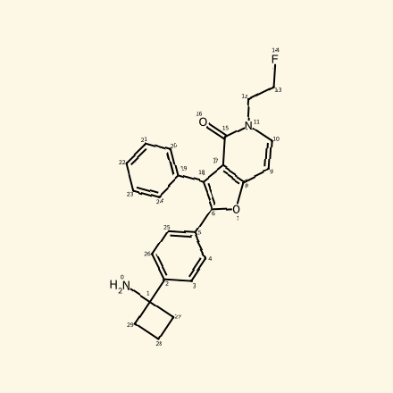 NC1(c2ccc(-c3oc4ccn(CCF)c(=O)c4c3-c3ccccc3)cc2)CCC1